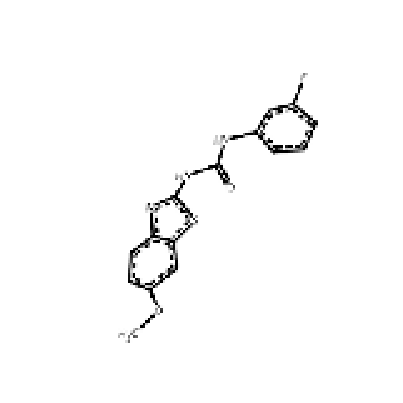 COc1ccc2nc(NC(=O)Nc3cccc(F)c3)sc2c1